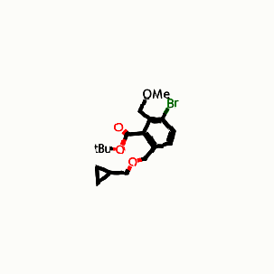 COCc1c(Br)ccc(COCC2CC2)c1C(=O)OC(C)(C)C